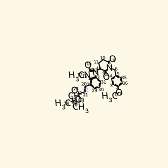 COc1ccc(CN2C(=O)CCC(n3c(=O)n(C)c4c(/C=C/C(=O)OC(C)(C)C)cccc43)C2=O)cc1